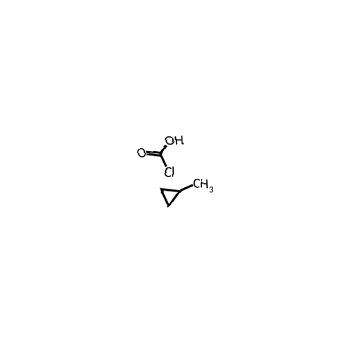 CC1CC1.O=C(O)Cl